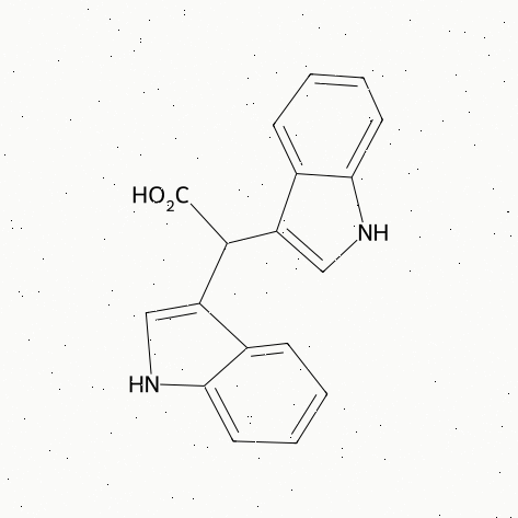 O=C(O)C(c1c[nH]c2ccccc12)c1c[nH]c2ccccc12